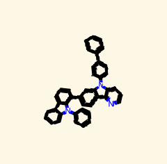 c1ccc(-c2ccc(-n3c4cc(-c5cccc6c7ccccc7n(-c7ccccc7)c56)ccc4c4ncccc43)cc2)cc1